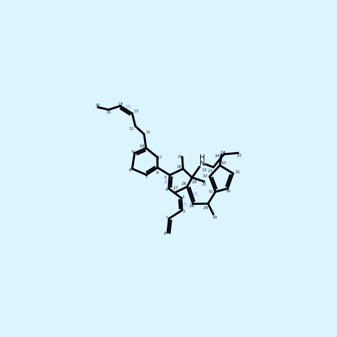 C=C/C=C\C=C(\C1=CCC=C(CC/C=C\CC)C1)C(C)C(C)(NCCC)/C(C)=C\C(C)C1=CC(C)C=C1